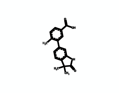 Cc1ccc(C(=O)O)cc1-c1ccc2c(c1)NC(=O)C2(C)C